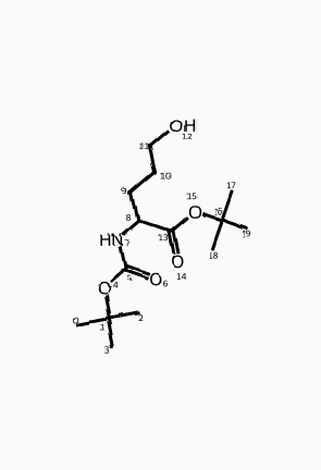 CC(C)(C)OC(=O)NC(CCCO)C(=O)OC(C)(C)C